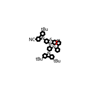 CC(C)(C)c1ccc2c(c1)c1cc(C#N)ccc1n2-c1ccc2c(c1)Sc1cc(Cl)cc3c1B2c1ccc(-n2c4ccc(C(C)(C)C)cc4c4cc(C(C)(C)C)ccc42)cc1N3c1ccccc1-c1ccccc1